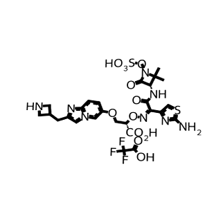 CC1(C)[C@H](NC(=O)/C(=N\O[C@@H](COc2ccc3nc(CC4CNC4)cn3c2)C(=O)O)c2csc(N)n2)C(=O)N1OS(=O)(=O)O.O=C(O)C(F)(F)F